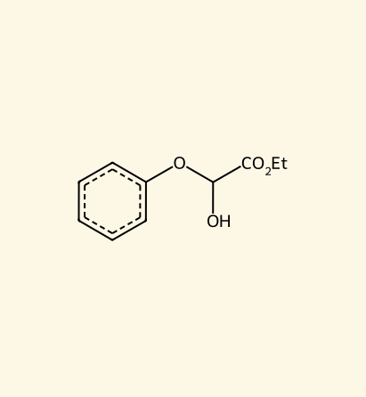 CCOC(=O)C(O)Oc1ccccc1